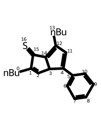 CCCCC1=CC2C(c3ccccc3)=CC(CCCC)=C2C1=S